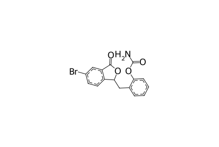 NC(=O)Oc1ccccc1CC1OC(=O)c2cc(Br)ccc21